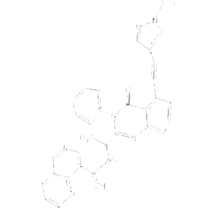 C=C(NC(C)c1nc2cccc(C#Cc3cnn(C)c3)c2c(=O)n1-c1ccccc1)c1cncc2cccnc12